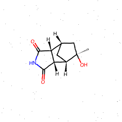 C[C@@]1(O)C[C@@H]2C[C@H]1[C@@H]1C(=O)NC(=O)[C@H]21